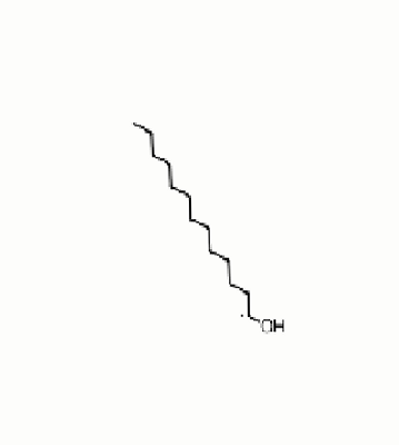 CCCCCCCCCCCC[CH]O